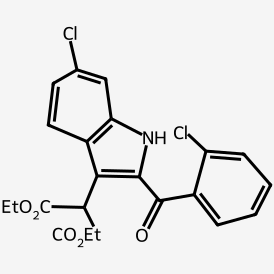 CCOC(=O)C(C(=O)OCC)c1c(C(=O)c2ccccc2Cl)[nH]c2cc(Cl)ccc12